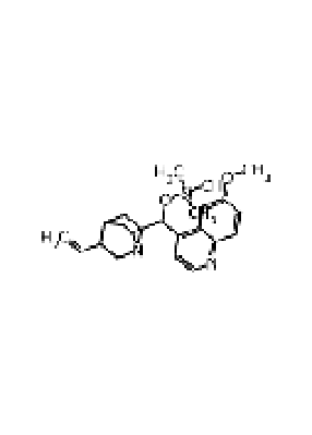 C=CC1CN2CCC1CC2C(O[Si](C)(C)C)c1ccnc2ccc(OC)cc12